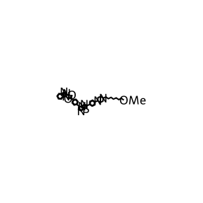 COCCCCCCCN1CCN(c2ccc(-c3nn4c(-c5ccc(C(=O)On6nnc7ccccc76)cc5)cnc4s3)cc2)CC1